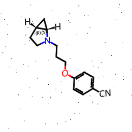 N#Cc1ccc(OCCCN2CC[C@@H]3C[C@@H]32)cc1